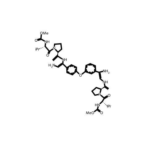 C=C(N/C=C(\N)c1cccc(Oc2ccc(/C(=C/N)NC(=C)[C@@H]3CCCN3C(=O)[C@@H](NC(=O)OC)C(C)C)cc2)c1)[C@@H]1CCCN1C(=O)[C@@H](NC(=O)OC)C(C)C